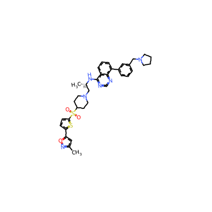 Cc1cc(-c2ccc(S(=O)(=O)C3CCN(C[C@H](C)Nc4ncnc5c(-c6cccc(CN7CCCC7)c6)cccc45)CC3)s2)on1